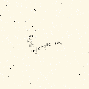 Cl.Cl.Cl.Cl.Cl.Cl.[SbH3].[SbH3]